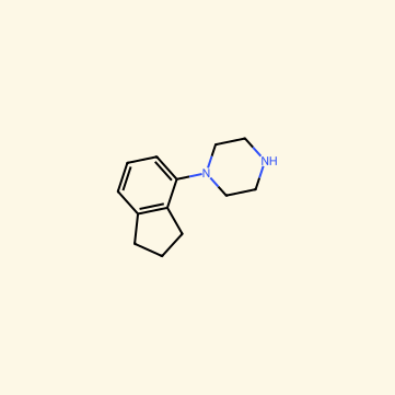 c1cc2c(c(N3CCNCC3)c1)CCC2